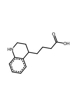 O=C(O)CCCC1CCNc2ccccc21